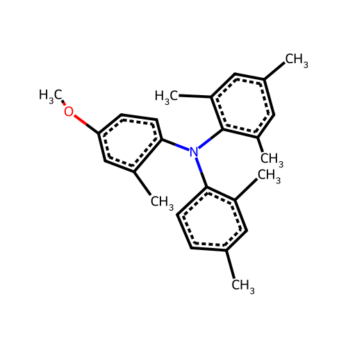 COc1ccc(N(c2ccc(C)cc2C)c2c(C)cc(C)cc2C)c(C)c1